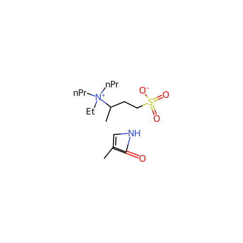 CC1=CNC1=O.CCC[N+](CC)(CCC)C(C)CCS(=O)(=O)[O-]